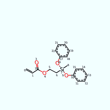 C=CC(=O)OCC[Si](C)(Oc1ccccc1)Oc1ccccc1